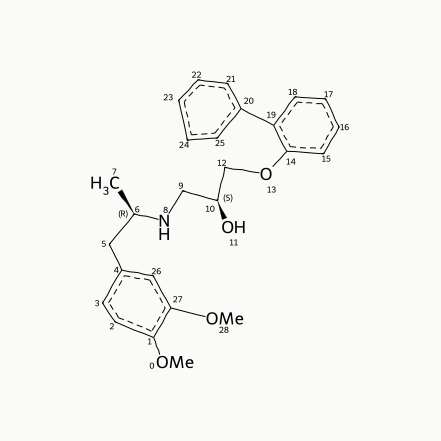 COc1ccc(C[C@@H](C)NC[C@H](O)COc2ccccc2-c2ccccc2)cc1OC